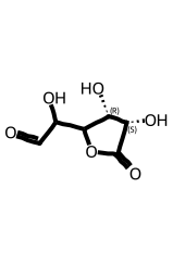 O=CC(O)C1OC(=O)[C@@H](O)[C@H]1O